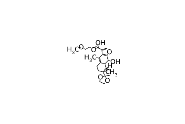 COCCO[C@H](O)c1coc2c1C(C)=C1CCC3(C)[C@@H](CCC34OCCO4)C1C2O